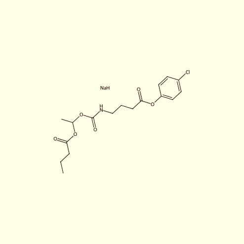 CCCC(=O)OC(C)OC(=O)NCCCC(=O)Oc1ccc(Cl)cc1.[NaH]